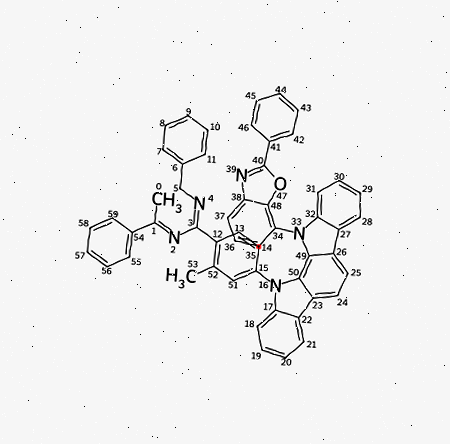 C/C(=N\C(=N/Cc1ccccc1)c1ccc(-n2c3ccccc3c3ccc4c5ccccc5n(-c5cccc6nc(-c7ccccc7)oc56)c4c32)cc1C)c1ccccc1